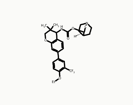 CCOc1ccc(-c2ccc3c(c2)OCC(C)(C)C3NC(=O)O[C@H]2CN3CCC2CC3)cc1C(F)(F)F